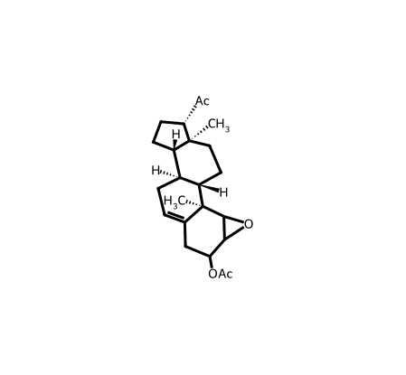 CC(=O)OC1CC2=CC[C@H]3[C@@H]4CC[C@H](C(C)=O)[C@@]4(C)CC[C@@H]3[C@@]2(C)C2OC12